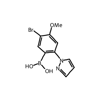 COc1cc(-n2cccn2)c(B(O)O)cc1Br